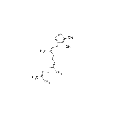 CC(C)=CCCC(C)=CCCC(C)=CCc1cccc(O)c1O